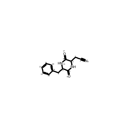 N#CCC1NC(=O)C(Cc2ccccc2)NC1=O